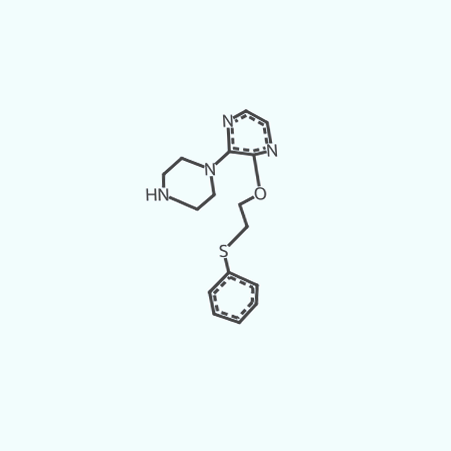 c1ccc(SCCOc2nccnc2N2CCNCC2)cc1